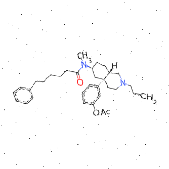 C=CCN1CC[C@@]2(c3cccc(OC(C)=O)c3)C[C@@H](N(C)C(=O)CCCCCc3ccccc3)CC[C@@H]2C1